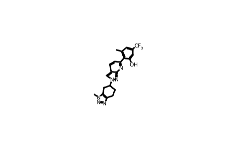 Cc1cc(C(F)(F)F)cc(O)c1-c1ccc2cn(C3CCc4nnn(C)c4C3)nc2n1